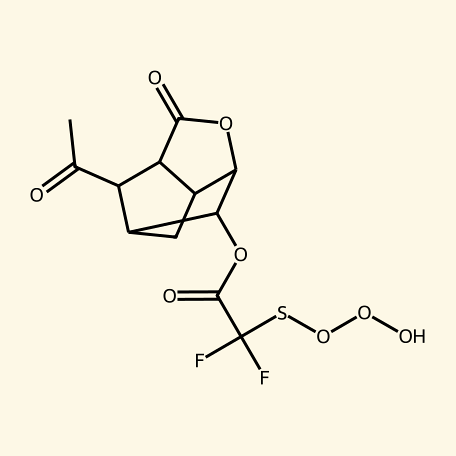 CC(=O)C1C2CC3C(OC(=O)C31)C2OC(=O)C(F)(F)SOOO